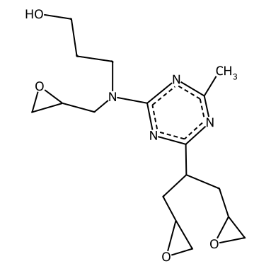 Cc1nc(C(CC2CO2)CC2CO2)nc(N(CCCO)CC2CO2)n1